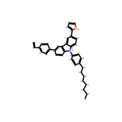 C=Cc1ccc(-c2ccc3c(c2)c2cc(-c4ccco4)ccc2n3-c2ccc(CCCCCCCC)cc2)cc1